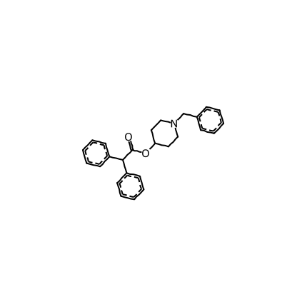 O=C(OC1CCN(Cc2ccccc2)CC1)C(c1ccccc1)c1ccccc1